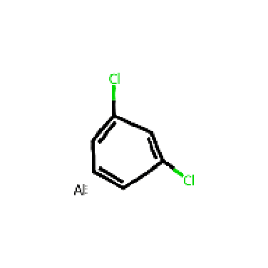 Clc1cccc(Cl)c1.[Al]